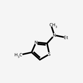 CCN(C)c1nc(C)cs1